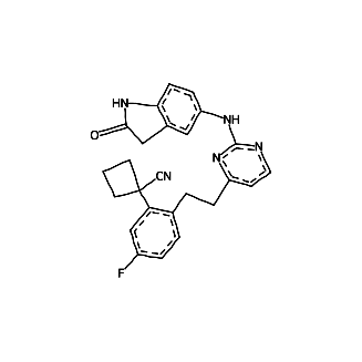 N#CC1(c2cc(F)ccc2CCc2ccnc(Nc3ccc4c(c3)CC(=O)N4)n2)CCC1